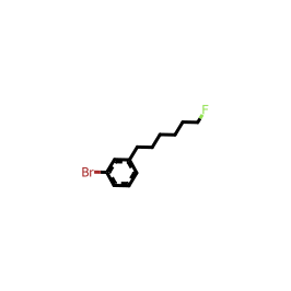 FCCCCCCc1cccc(Br)c1